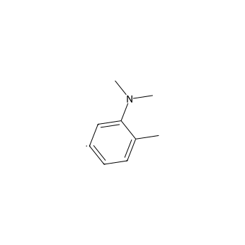 Cc1cc[c]cc1N(C)C